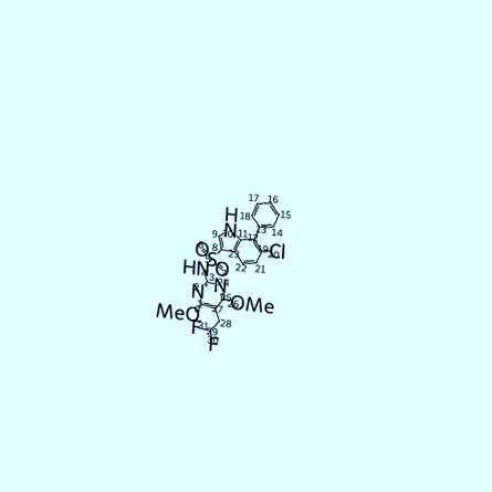 COc1nc(NS(=O)(=O)c2c[nH]c3c(-c4ccccc4)c(Cl)ccc23)nc(OC)c1CC(F)F